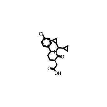 O=C(O)C[C@H]1CCC(c2ccc(Cl)cc2)N(C(C2CC2)C2CC2)C1=O